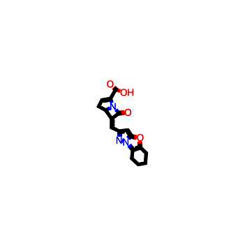 O=C(O)C1=CCC2C(=Cc3cc4oc5c(n4n3)CCCC5)C(=O)N12